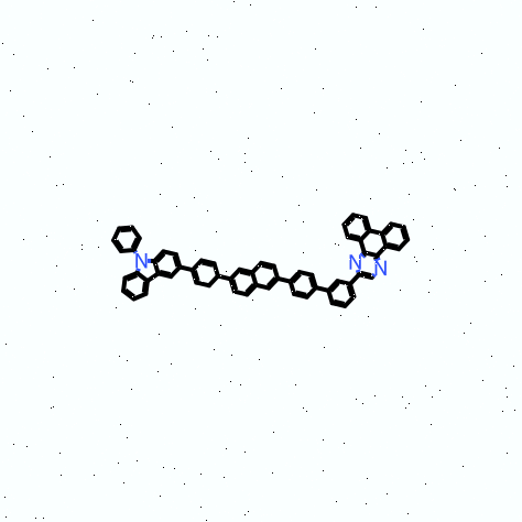 C1=CC(c2ccc3cc(-c4ccc(-c5cccc(-c6cnc7c8ccccc8c8ccccc8c7n6)c5)cc4)ccc3c2)CC=C1c1ccc2c(c1)c1ccccc1n2-c1ccccc1